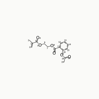 C=C(C)C(=O)OCCOC(=O)c1ccccc1OC(C)=O